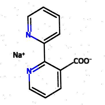 O=C([O-])c1cccnc1-c1ccccn1.[Na+]